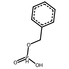 O=[PH](O)OCc1ccccc1